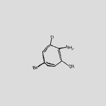 Nc1c(O)cc(Br)cc1Cl